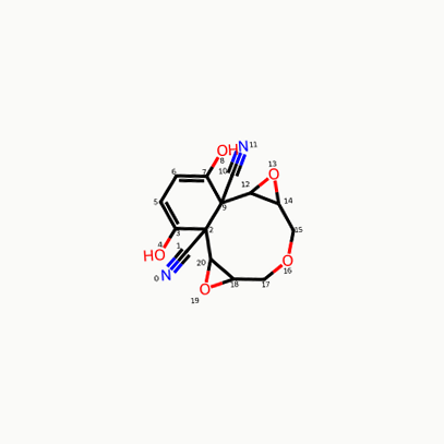 N#CC12C(O)=CC=C(O)C1(C#N)C1OC1COCC1OC12